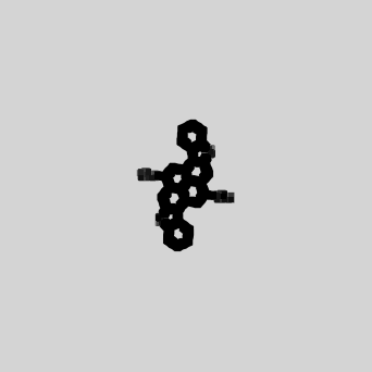 CC(C)(C)c1cc2c3c(cc4c(C(C)(C)C)cc5c6c(cc1c5c42)sc1ccccc16)sc1ccccc13